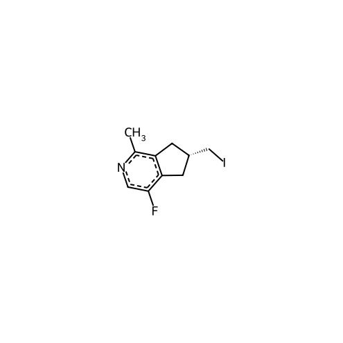 Cc1ncc(F)c2c1C[C@H](CI)C2